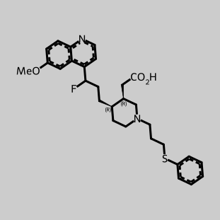 COc1ccc2nccc(C(F)CC[C@@H]3CCN(CCCSc4ccccc4)C[C@@H]3CC(=O)O)c2c1